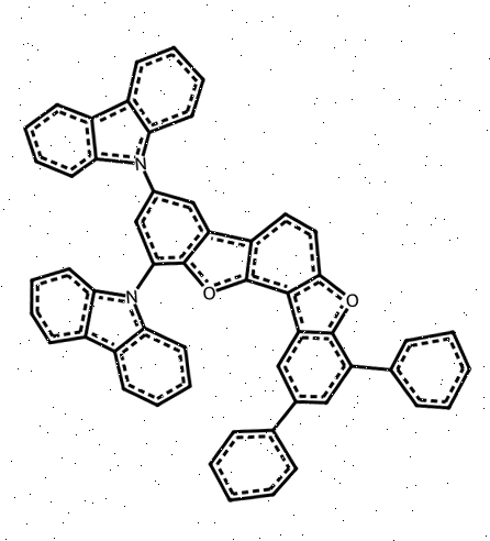 c1ccc(-c2cc(-c3ccccc3)c3oc4ccc5c6cc(-n7c8ccccc8c8ccccc87)cc(-n7c8ccccc8c8ccccc87)c6oc5c4c3c2)cc1